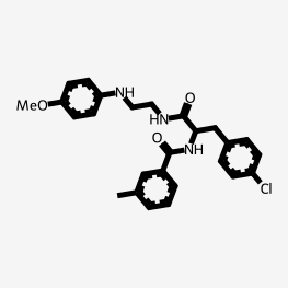 COc1ccc(NCCNC(=O)C(Cc2ccc(Cl)cc2)NC(=O)c2cccc(C)c2)cc1